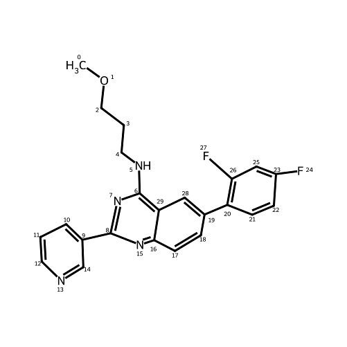 COCCCNc1nc(-c2cccnc2)nc2ccc(-c3ccc(F)cc3F)cc12